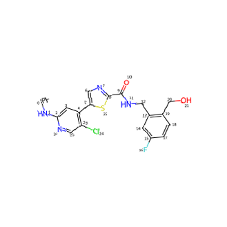 CC(C)Nc1cc(-c2cnc(C(=O)NCc3cc(F)ccc3CO)s2)c(Cl)cn1